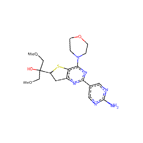 COCC(O)(COC)C1Cc2nc(-c3cnc(N)nc3)nc(N3CCOCC3)c2S1